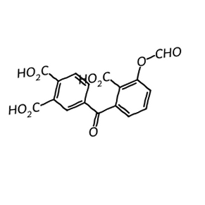 O=COc1cccc(C(=O)c2ccc(C(=O)O)c(C(=O)O)c2)c1C(=O)O